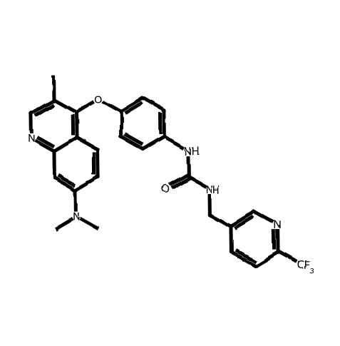 Cc1cnc2cc(N(C)C)ccc2c1Oc1ccc(NC(=O)NCc2ccc(C(F)(F)F)nc2)cc1